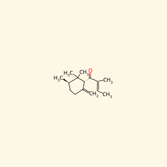 C=C1CC[C@@H](C)C(C)(C)[C@@H]1C(=O)C(C)=CC